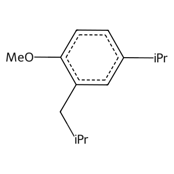 COc1ccc(C(C)C)cc1CC(C)C